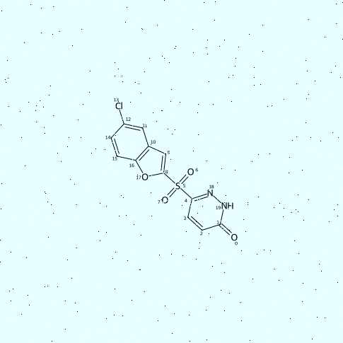 O=c1ccc(S(=O)(=O)c2cc3cc(Cl)ccc3o2)n[nH]1